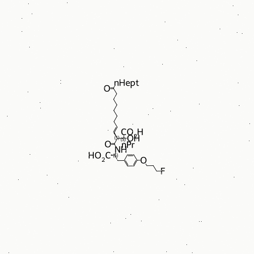 CCCCCCCC(=O)CCCCCCC=C[C@H](C(=O)N[C@@H](Cc1ccc(OCCCF)cc1)C(=O)O)[C@@](O)(CCC)C(=O)O